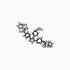 CC(C)(C)c1ccc(N2C(c3ccc(NC(=O)[C@@H]4CCCN4)cc3)CCC2c2ccc(NC(=O)[C@@H]3CCCN3)cc2)cc1